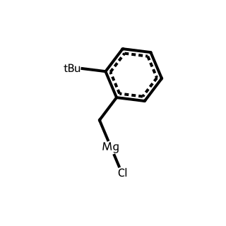 CC(C)(C)c1ccccc1[CH2][Mg][Cl]